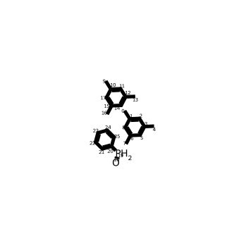 Cc1cc(C)cc(C)c1.Cc1cc(C)cc(C)c1.O=[PH2]c1ccccc1